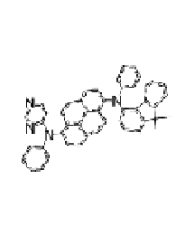 CC1(C)c2ccccc2-c2c(N(c3ccccc3)c3ccc4ccc5c(N(c6ccccc6)c6ccncn6)ccc6ccc3c4c65)cccc21